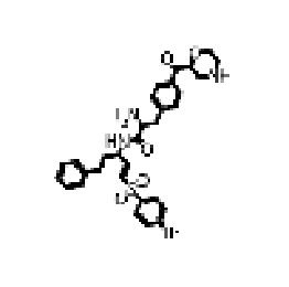 N[C@@H](Cc1ccc(C(=O)C2CNCCO2)cc1)C(=O)NC(C=CS(=O)(=O)c1ccc(Br)cc1)CCc1ccccc1